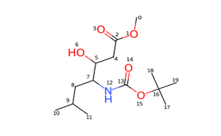 COC(=O)CC(O)C(CC(C)C)NC(=O)OC(C)(C)C